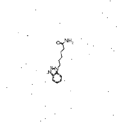 NC(=O)CCCCCn1nnc2ccccc21